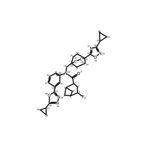 O=C(C1CC(F)C2CC1C2)N(CC12CCC(c3nc(C4CC4)no3)(CC1)CC2)c1cccc(-c2nnc(C3CC3)o2)c1